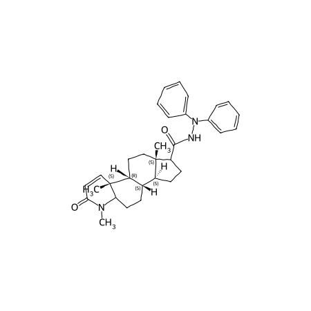 CN1C(=O)C=C[C@@]2(C)C1CC[C@@H]1[C@H]2CC[C@]2(C)C(C(=O)NN(c3ccccc3)c3ccccc3)CC[C@@H]12